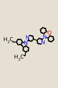 C=Cc1ccc2c(c1)c1cc(C=C)ccc1n2-c1cc(-c2ccnc(N3c4ccccc4Oc4ccccc43)c2)ccn1